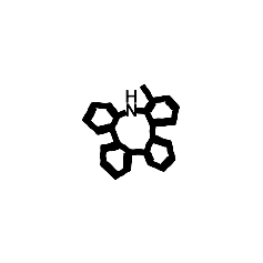 Cc1cccc2c1[nH]c1ccccc1c1ccccc1c1ccccc21